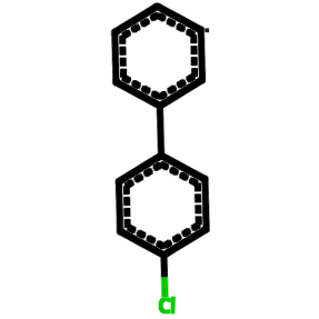 Clc1ccc(-c2c[c]ccc2)cc1